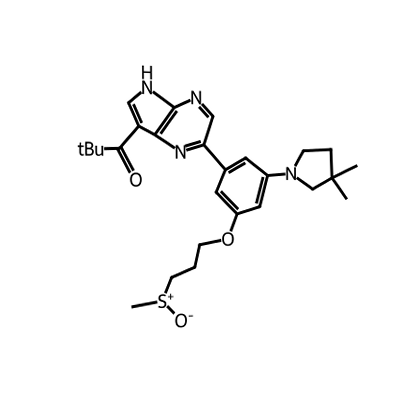 C[S+]([O-])CCCOc1cc(-c2cnc3[nH]cc(C(=O)C(C)(C)C)c3n2)cc(N2CCC(C)(C)C2)c1